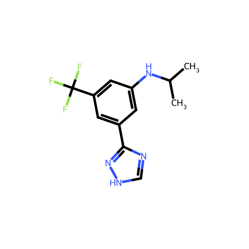 CC(C)Nc1cc(-c2nc[nH]n2)cc(C(F)(F)F)c1